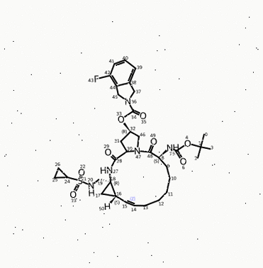 CC(C)(C)OC(=O)N[C@H]1CCCCC/C=C\[C@@H]2C[C@@]2(CNS(=O)(=O)C2CC2)NC(=O)C2C[C@@H](OC(=O)N3Cc4cccc(F)c4C3)CN2C1=O